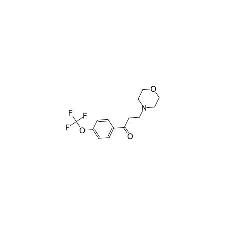 O=C(CCN1CCOCC1)c1ccc(OC(F)(F)F)cc1